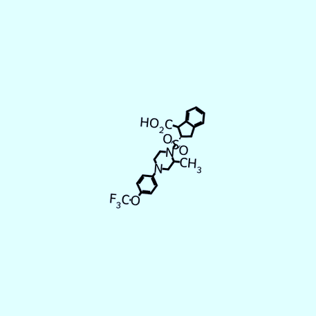 CC1CN(c2ccc(OC(F)(F)F)cc2)CCN1S(=O)(=O)[C@H]1Cc2ccccc2C1C(=O)O